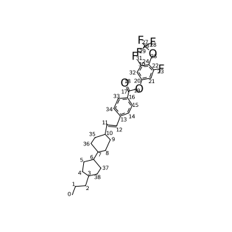 CCCC1CCC(C2CCC(C=Cc3ccc(C(=O)Oc4cc(F)c(OC(F)(F)F)c(F)c4)cc3)CC2)CC1